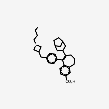 O=C(O)c1ccc2c(c1)CCCC(C1CC3CCC(C3)C1)=C2c1ccc(CC2CN(CCCF)C2)cc1